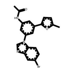 CC(=O)Nc1cc(-c2ccc(C)o2)cc(-n2cnc3cc(Br)ccc32)c1